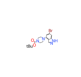 CC(C)(C)OC(=O)N1CCN(c2cc(Br)cc3[nH]ncc23)CC1